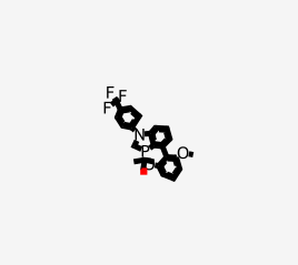 COc1cccc(OC)c1-c1cccc2c1P(C(C)(C)C)CN2c1ccc(C(F)(F)F)cc1